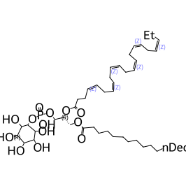 CC/C=C\C/C=C\C/C=C\C/C=C\C/C=C\C/C=C\CCC(=O)O[C@H](COC(=O)CCCCCCCCCCCCCCCCCCCC)COP(=O)(O)OC1C(O)C(O)C(O)[C@@H](O)C1O